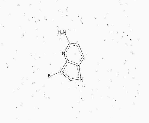 Nc1ccn2ncc(Br)c2n1